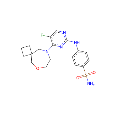 NS(=O)(=O)c1ccc(Nc2ncc(F)c(N3CCOCC4(CCC4)C3)n2)cc1